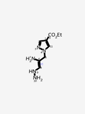 CCOC(=O)c1cnn(C/C(N)=C/NN)c1